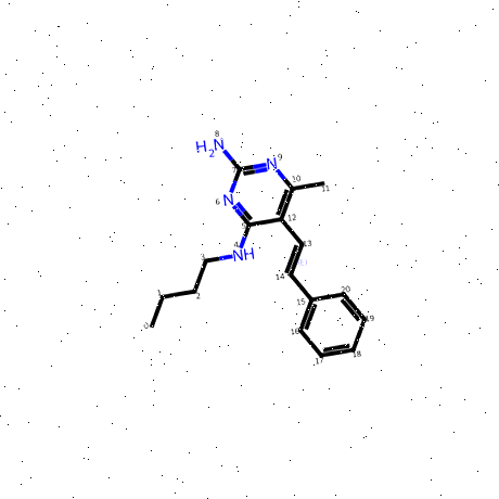 CCCCNc1nc(N)nc(C)c1/C=C/c1ccccc1